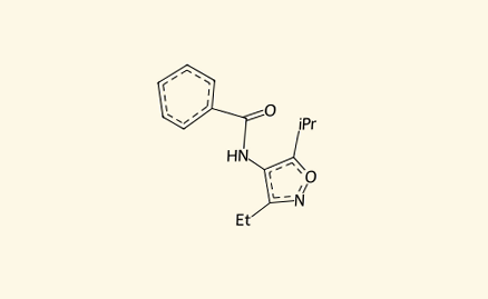 CCc1noc(C(C)C)c1NC(=O)c1ccccc1